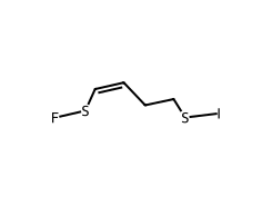 FS/C=C\CCSI